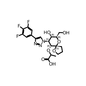 CC(O[C@@H]1[C@@H](n2cc(-c3cc(F)c(F)c(F)c3)nn2)[C@@H](O)[C@@H](CO)O[C@@]12CCCO2)C(=O)O